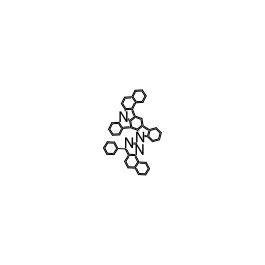 c1ccc(-c2nc(-n3c4ccccc4c4cc5c6c7ccccc7ccc6n6c7ccccc7c(c43)c56)nc3c2ccc2ccccc23)cc1